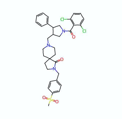 CS(=O)(=O)c1ccc(CN2CCC3(CCN(CC4CN(C(=O)c5c(Cl)cccc5Cl)CC4c4ccccc4)CC3)C2=O)cc1